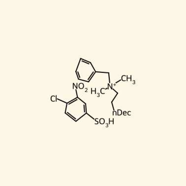 CCCCCCCCCCCC[N+](C)(C)Cc1ccccc1.O=[N+]([O-])c1cc(S(=O)(=O)O)ccc1Cl